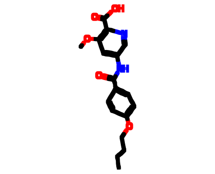 CCCCOc1ccc(C(=O)Nc2cnc(C(=O)O)c(OC)c2)cc1